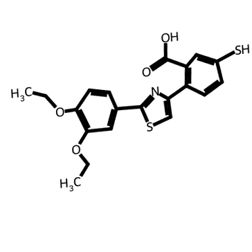 CCOc1ccc(-c2nc(-c3ccc(S)cc3C(=O)O)cs2)cc1OCC